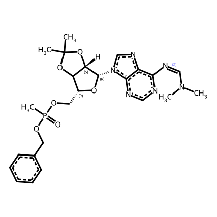 CN(C)/C=N\c1ncnc2c1ncn2[C@@H]1O[C@H](COP(C)(=O)OCc2ccccc2)C2OC(C)(C)O[C@@H]21